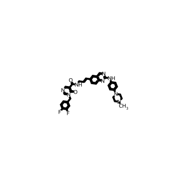 CN1CCN(c2ccc(Nc3ncc4cc(/C=C/CNC(=O)c5cncn(Cc6ccc(F)c(F)c6)c5=O)ccc4n3)cc2)CC1